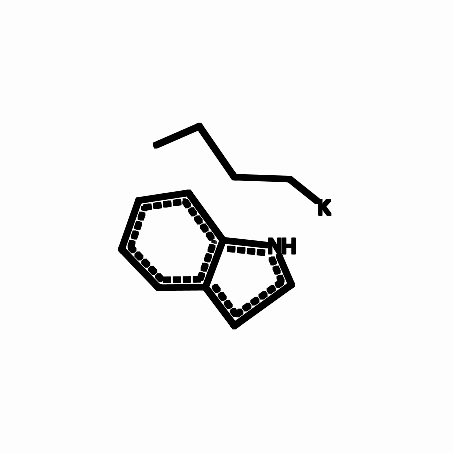 CCC[CH2][K].c1ccc2[nH]ccc2c1